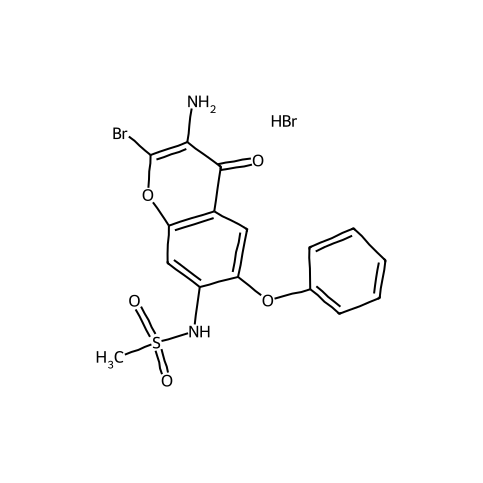 Br.CS(=O)(=O)Nc1cc2oc(Br)c(N)c(=O)c2cc1Oc1ccccc1